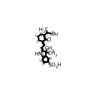 CCC(C)C(C)C1=C(Cl)/C(=C/C=C2/Nc3ccc(S(=O)(=O)O)cc3C2(C)C)CCC1